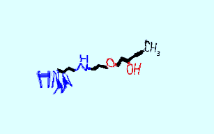 CC#CC(O)CCOCCCNCCc1c[nH]nn1